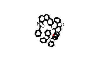 c1ccc(-c2nc3ccc4ccc5ccc(N(c6cccc([Si](c7ccccc7)(c7ccccc7)c7ccccc7)c6)c6c7ccccc7cc7oc8ccccc8c67)cc5c4c3o2)cc1